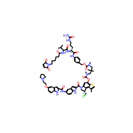 Cc1csc2c(OC(=O)N(C)CC(C)(C)CN(C)C(=O)OCc3ccc(NC(=O)[C@H](CCCNC(N)=O)NC(=O)C(NC(=O)CCCCCN4C(=O)C=CC4=O)C(C)C)cc3)cc3c(c12)[C@H](CCl)CN3C(=O)c1cc2cc(NC(=O)c3cc4cc(OCCN5CCCC5)ccc4[nH]3)ccc2[nH]1